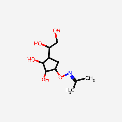 CC(C)=NOC1CC(C(O)CO)C(O)C1O